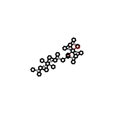 c1ccc(-c2c3c4cccc5c6c7c8ccccc8n(-c8ccccc8)c7ccc6n(c3c(-c3ccccc3)c3c6cccc7c8c9c%10ccccc%10n(-c%10cccc(-c%11cccc(-n%12c%13ccccc%13c%13cc%14c%15ccccc%15n%15c%16c(-c%17ccccc%17)c%17c%18c%19c(cc%20c%21ccccc%21n(c%17c(-c%17ccccc%17)c%16c(c%13%12)c%14%15)c%20%18)c%12ccccc%12n%19-c%12ccccc%12)c%11)c%10)c9ccc8n(c23)c67)c45)cc1